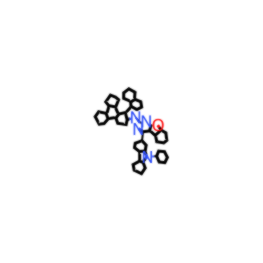 c1ccc(-n2c3ccccc3c3ccc(-c4nc(-n5c6ccc7ccccc7c6c6c7c8ccccc8c8ccccc8c7ccc65)nc5oc6ccccc6c45)cc32)cc1